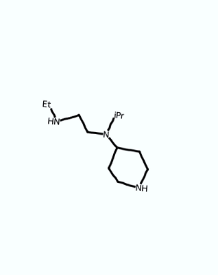 CCNCCN(C(C)C)C1CCNCC1